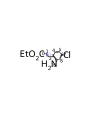 CCOC(=O)/C=C/c1ccc(Cl)cc1N